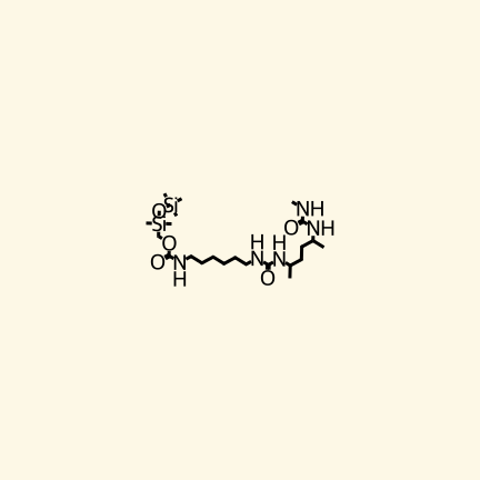 CNC(=O)NC(C)CCC(C)NC(=O)NCCCCCCNC(=O)OC[Si](C)(C)O[Si](C)(C)C